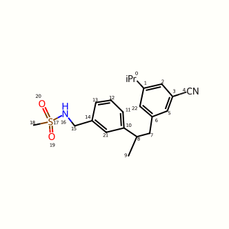 CC(C)c1cc(C#N)cc(CC(C)c2cccc(CNS(C)(=O)=O)c2)c1